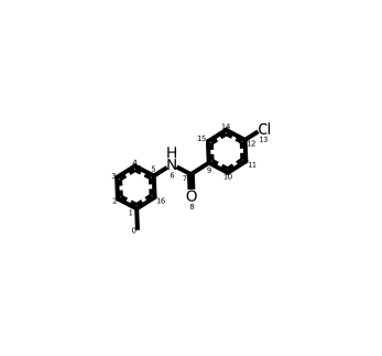 Cc1cc[c]c(NC(=O)c2ccc(Cl)cc2)c1